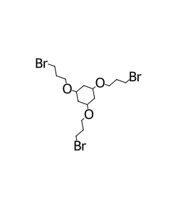 BrCCCOC1CC(OCCCBr)CC(OCCCBr)C1